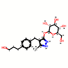 OCCCc1ccc(Cc2c(OC3O[C@H](CO)[C@@H](O)[C@H](O)[C@H]3O)n[nH]c2C(F)(F)F)cc1